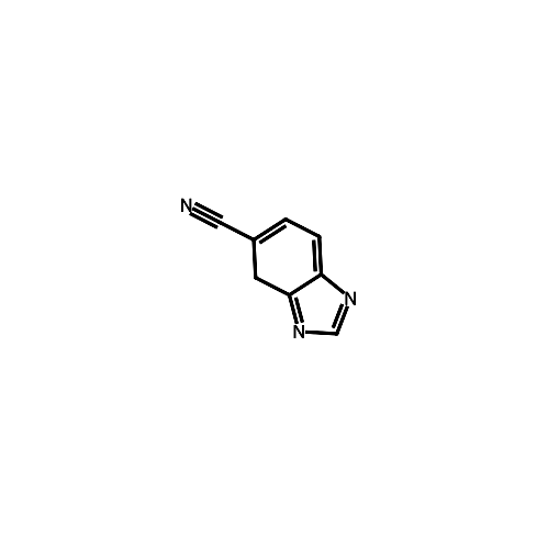 N#CC1=CC=C2N=CN=C2C1